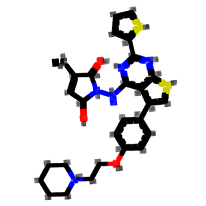 CC1=CC(=O)N(Nc2nc(-c3cccs3)nc3scc(-c4ccc(OCCN5CCCCC5)cc4)c23)C1=O